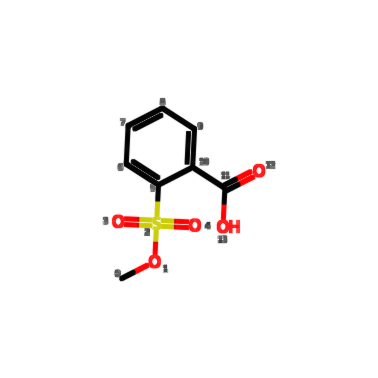 COS(=O)(=O)c1ccccc1C(=O)O